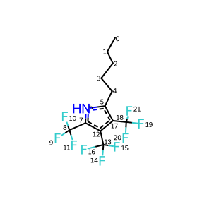 CCCCCc1[nH]c(C(F)(F)F)c(C(F)(F)F)c1C(F)(F)F